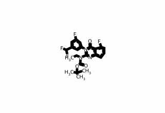 CCN(C(=O)OC(C)(C)C)c1nc2cccc(F)c2c(=O)n1-c1cc(F)cc(C(F)F)c1